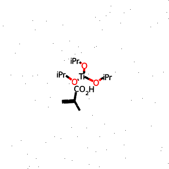 C=C(C)C(=O)O.CC(C)[O][Ti]([O]C(C)C)[O]C(C)C